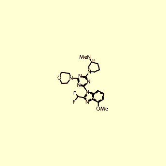 CN[C@H]1CCCN(c2nc(N3CCOCC3)nc(-n3c(C(F)F)nc4c(OC)cccc43)n2)C1